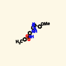 COc1cccc(-c2cnn3ccc(Nc4cccc(NS(=O)(=O)c5ccc(C)cc5)c4)nc23)c1